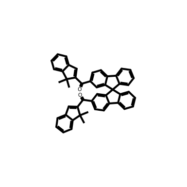 CC1(C)C(C(=O)c2ccc3c(c2)C2(c4ccccc4-3)c3ccccc3-c3ccc(C(=O)C4=Cc5ccccc5C4(C)C)cc32)=Cc2ccccc21